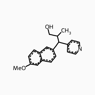 COc1ccc2cc(C(c3ccncc3)C(C)CO)ccc2c1